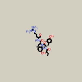 CCCC(=O)N[C@@H](Cc1ccc(O)cc1)C(=O)N1[C@H](C(=O)NC(C=O)CCCN=C(N)N)C[C@@H]2CCC(O)C[C@@H]21